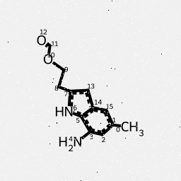 Cc1cc(N)c2[nH]c(CCOC=O)cc2c1